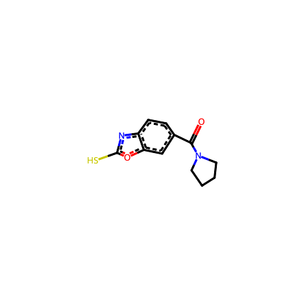 O=C(c1ccc2nc(S)oc2c1)N1CCCC1